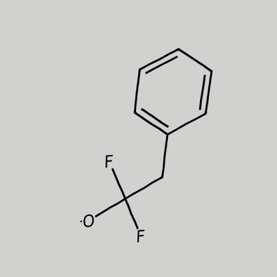 [O]C(F)(F)Cc1ccccc1